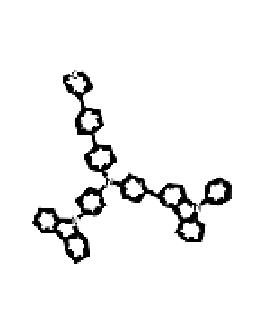 c1ccc(-c2ccc(-c3ccc(N(c4ccc(-c5ccc6c(c5)c5ccccc5n6-c5ccccc5)cc4)c4ccc(-n5c6ccccc6c6ccccc65)cc4)cc3)cc2)cc1